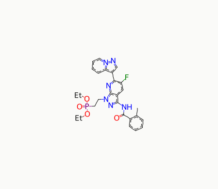 CCOP(=O)(CCn1nc(NC(=O)c2ccccc2C)c2cc(F)c(-c3cnn4ccccc34)nc21)OCC